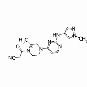 C[C@@H]1CN(c2ccnc(Nc3cnn(C)c3)n2)CCN1C(=O)CC#N